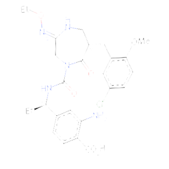 CCO/N=C1/CN(C(=O)N[C@H](CC)c2ccc(C(=O)O)c(N)c2)C(=O)[C@@H](Cc2cc(Cl)ccc2OC)CN1